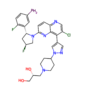 OC[C@H](O)CN1CCC(n2cc(-c3c(Cl)cnc4ccc(N5C[C@@H](F)C[C@@H]5c5cc(P)ccc5F)nc34)cn2)CC1